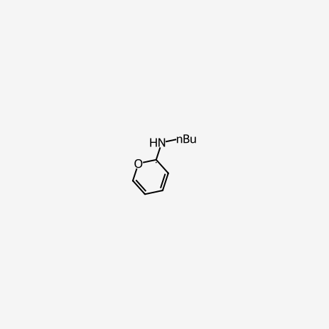 CCCCN[C]1C=CC=CO1